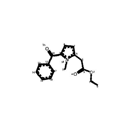 CCOC(=O)Cc1ccc(C(=O)c2ccccc2)n1C